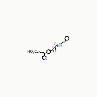 O=C(O)CCC/C=C(/c1ccc(-c2nc(C(=O)NCCCCC3CCCCC3)co2)cc1)c1cccnc1